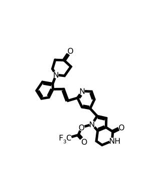 O=C1CCN(c2ccccc2C=Cc2cc(-c3cc4c(n3OC(=O)C(F)(F)F)CCNC4=O)ccn2)CC1